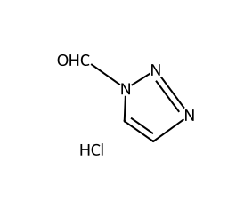 Cl.O=Cn1ccnn1